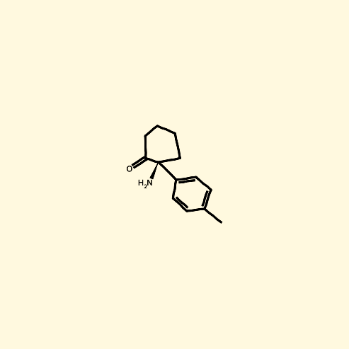 Cc1ccc([C@@]2(N)CCCCC2=O)cc1